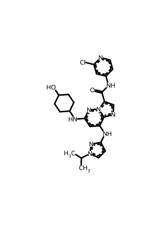 CC(C)n1ccc(Nc2cc(NC3CCC(O)CC3)nn3c(C(=O)Nc4ccnc(Cl)c4)cnc23)n1